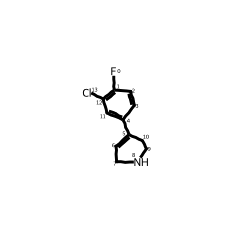 Fc1ccc(C2=CCNCC2)cc1Cl